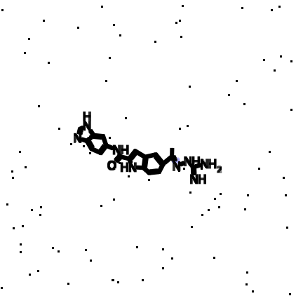 C/C(=N\NC(=N)N)c1ccc2[nH]c(C(=O)Nc3ccc4nc[nH]c4c3)cc2c1